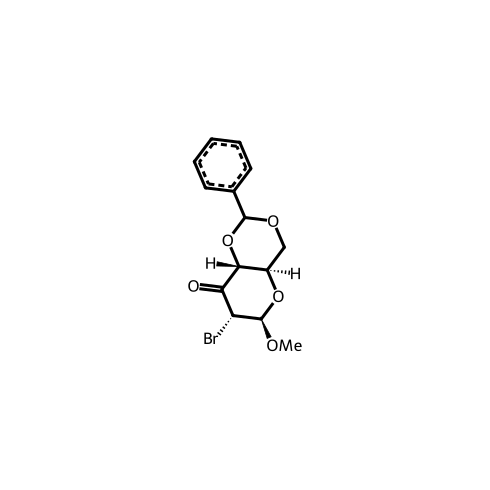 CO[C@@H]1O[C@@H]2COC(c3ccccc3)O[C@H]2C(=O)[C@H]1Br